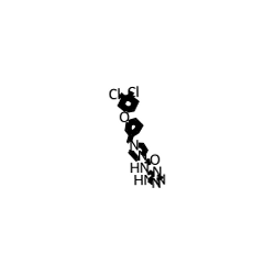 O=C(Nc1nnn[nH]1)N1CCN(Cc2cccc(Oc3ccc(Cl)c(Cl)c3)c2)CC1